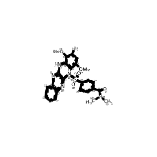 CCc1cc(OC)cc(Nc2nc3ccccc3nc2NS(=O)(=O)c2ccc(C(=O)N(C)C)cc2)c1OC